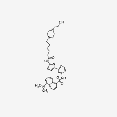 CN(C)c1cccc2c(S(=O)(=O)Nc3cccc(-c4csc(NC(=O)CCCCCN5CCN(CCO)CC5)n4)c3)cccc12